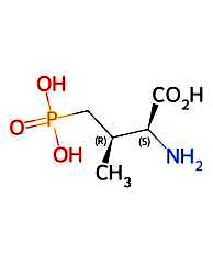 C[C@@H](CP(=O)(O)O)[C@H](N)C(=O)O